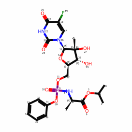 CC(C)OC(=O)[C@@H](C)NP(=O)(OC[C@H]1O[C@@H](n2cc(F)c(=O)[nH]c2=O)[C@](C)(O)[C@@H]1O)Oc1ccccc1